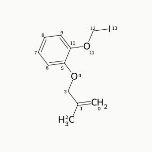 C=C(C)COc1ccccc1OCI